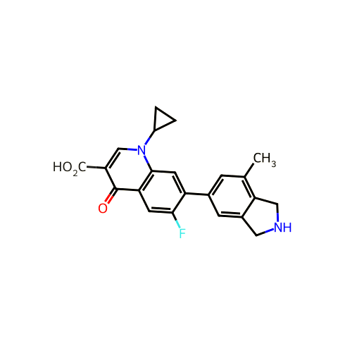 Cc1cc(-c2cc3c(cc2F)c(=O)c(C(=O)O)cn3C2CC2)cc2c1CNC2